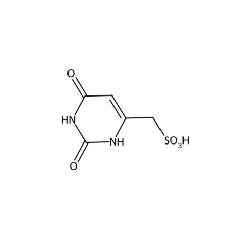 O=c1cc(CS(=O)(=O)O)[nH]c(=O)[nH]1